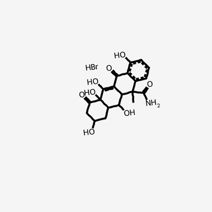 Br.CC1(C(N)=O)c2cccc(O)c2C(=O)C2=C(O)C3(O)C(=O)CC(O)CC3C(O)C21